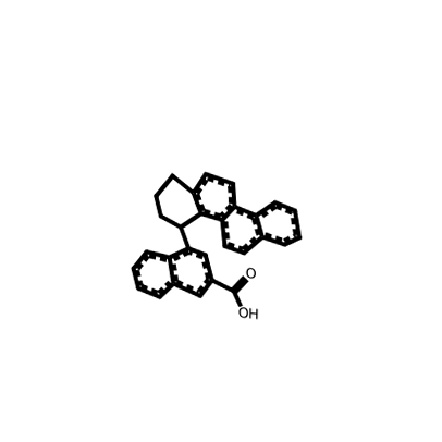 O=C(O)c1cc(C2CCCc3ccc4c(ccc5ccccc54)c32)c2ccccc2c1